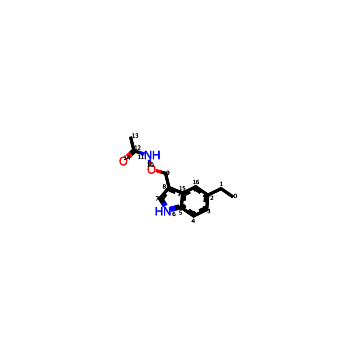 CCc1ccc2[nH]cc(CONC(C)=O)c2c1